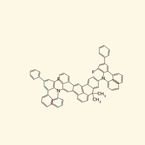 CC1(C)c2cc(N(c3ccccc3)c3c(F)cc(-c4ccccc4)cc3-c3ccccc3)ccc2-c2cc3c4ccccc4c(N(c4ccccc4)c4c(F)cc(-c5ccccc5)cc4-c4ccccc4)cc3c3cccc1c23